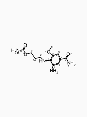 COc1cc(C(N)=O)cc(N)c1NCCCOC(N)=O